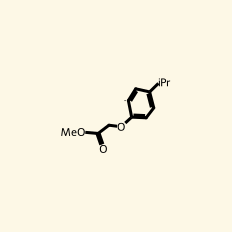 COC(=O)COc1[c]cc(C(C)C)cc1